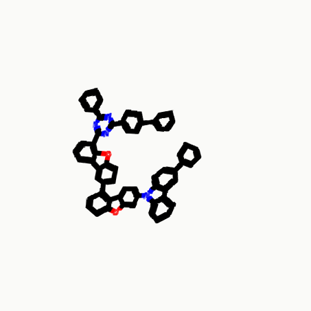 c1ccc(-c2ccc(-c3nc(-c4ccccc4)nc(-c4cccc5c4oc4ccc(-c6cccc7oc8cc(-n9c%10ccccc%10c%10cc(-c%11ccccc%11)ccc%109)ccc8c67)cc45)n3)cc2)cc1